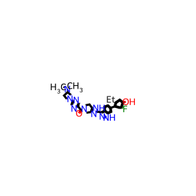 CCc1cc(O)c(F)cc1-c1ccc2c(-c3nc4c([nH]3)CCN(C(=O)c3cnc(N5CC[C@@H](N(C)C)C5)cn3)C4)n[nH]c2c1